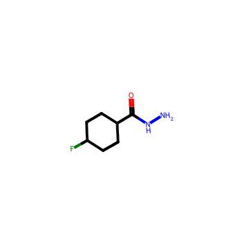 NNC(=O)C1CCC(F)CC1